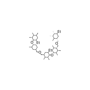 CCC1C[C@H](COC[C@@H]2C(C)C[C@@H](O[C@@H]3C(CC)C[C@H](COC[C@@H]4CC[C@@H](O[C@@H]5C(CC)C[C@H](C)C(C)[C@@H]5C)C(C)C4)C(C)[C@@H]3C)C(C)[C@@H]2C)C(C)[C@H](C)[C@@H]1C